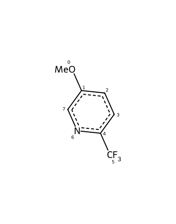 COc1ccc(C(F)(F)F)nc1